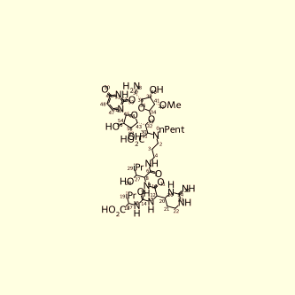 CCCCCN(CCCNC(=O)C(NC(=O)C(NC(=O)NC(C(=O)O)C(C)C)C1CCNC(=N)N1)C(O)C(C)C)C(C(=O)O)C(OC1O[C@H](CN)[C@H](O)[C@@H]1OC)[C@H]1O[C@@H](n2ccc(=O)[nH]c2=O)[C@H](O)[C@H]1O